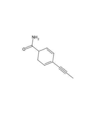 CC#CC1=CCC(C(N)=O)C=C1